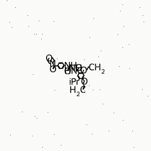 C=CCOc1cc(OCC=C)c(C(C)C)cc1C(=O)NNC(=O)Nc1ccc(C(=O)N2CCOCC2)cc1